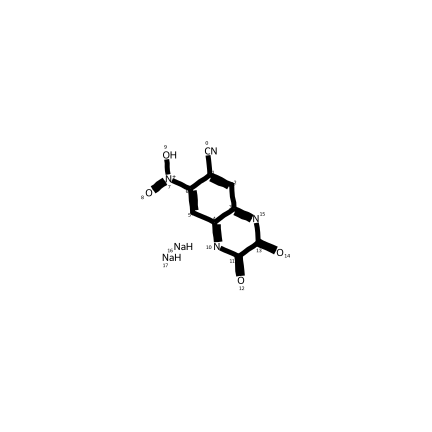 N#Cc1cc2c(cc1[N+](=O)O)=NC(=O)C(=O)N=2.[NaH].[NaH]